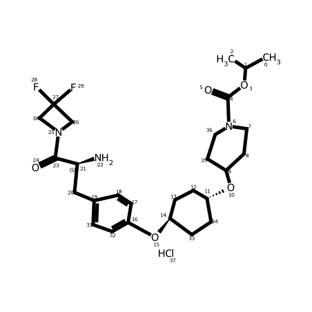 CC(C)OC(=O)N1CCC(O[C@H]2CC[C@H](Oc3ccc(C[C@H](N)C(=O)N4CC(F)(F)C4)cc3)CC2)CC1.Cl